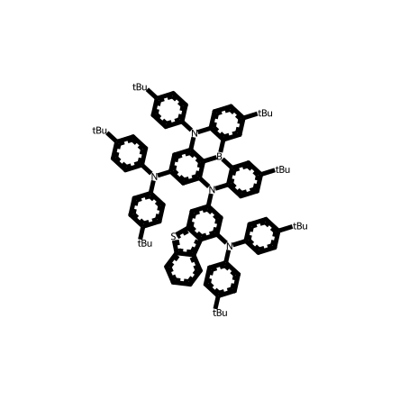 CC(C)(C)c1ccc(N(c2ccc(C(C)(C)C)cc2)c2cc3c4c(c2)N(c2cc(N(c5ccc(C(C)(C)C)cc5)c5ccc(C(C)(C)C)cc5)c5c(c2)sc2ccccc25)c2ccc(C(C)(C)C)cc2B4c2cc(C(C)(C)C)ccc2N3c2ccc(C(C)(C)C)cc2)cc1